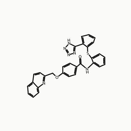 O=C(Nc1ccccc1Sc1ccccc1-c1nnn[nH]1)c1ccc(OCc2ccc3ccccc3n2)cc1